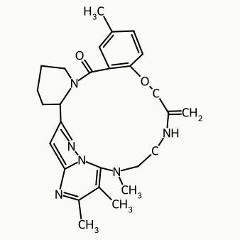 C=C1COc2ccc(C)cc2C(=O)N2CCCCC2c2cc3nc(C)c(C)c(n3n2)N(C)CCN1